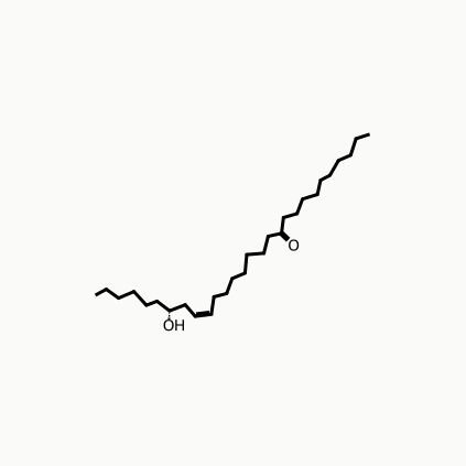 CCCCCCCCCCC(=O)CCCCCCC/C=C\C[C@H](O)CCCCCC